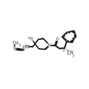 C/N=C\NCC1(O)CCN(C(=O)C[C@@H](C)c2ccccc2)CC1